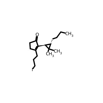 CCCC[C@H]1[C@H](C2=C(CCCI)CCC2=O)C1(C)C